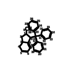 CC1CC2CC=CC=C2C1C(c1ccccc1)(c1ccccc1)c1ccccc1